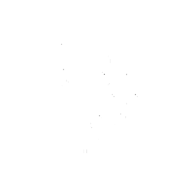 Cc1cc(Nc2ncc3cnn(Cc4ccccc4C#N)c3n2)nn1C